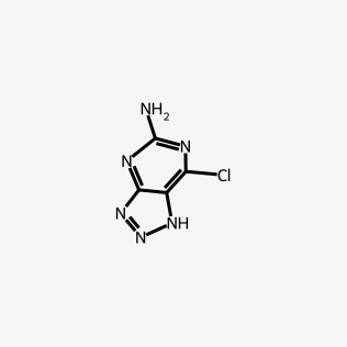 Nc1nc(Cl)c2[nH]nnc2n1